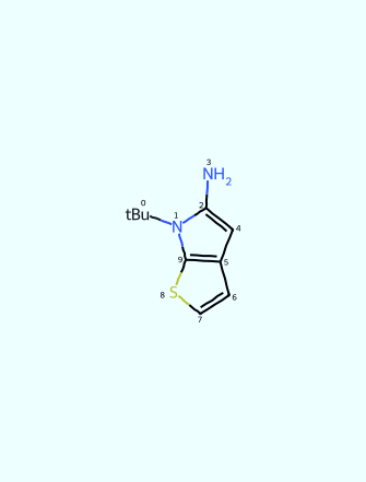 CC(C)(C)n1c(N)cc2ccsc21